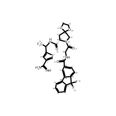 N=C(N)c1csc(C(NC(=O)[C@@H]2CC3(CN2C(=O)CNC(=O)c2ccc4c(c2)-c2ccccc2C4(F)F)OCCO3)C(F)(F)F)c1